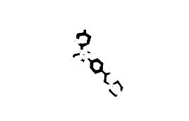 CC(C)CN(c1ccc(C(C)C)cn1)S(=O)(=O)c1ccc(C(O)CN2CCOCC2)cc1